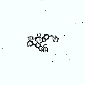 CC(C)(C)OC(=O)n1c(-c2cc(-c3cccnc3)cc3c2C(=O)NC3)cc2cc(CN3CCCCC3)ccc21